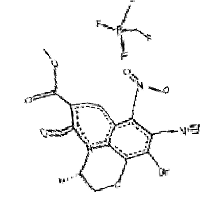 COC(=O)c1cc2c([N+](=O)[O-])c([N+]#N)c(Br)c3c2n(c1=O)[C@@H](C)CO3.F[B-](F)(F)F